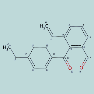 C=Cc1cccc([C]=O)c1C(=O)c1ccc(CC)cc1